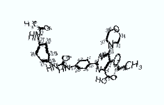 CCOc1c(C(=O)O)nc(-c2ccc(NC(=O)Nc3ccc(NC(C)=O)cc3)cc2)nc1N1CCOCC1